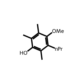 CCCc1c(C)c(O)c(C)c(C)c1OC